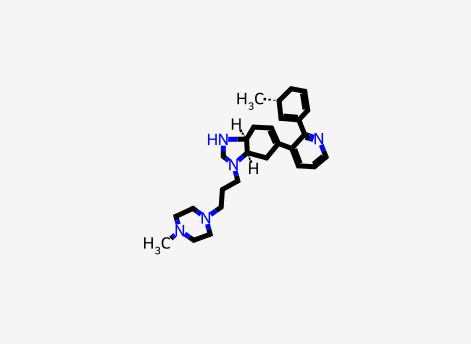 C[C@H]1C=C(c2ncccc2C2=CC[C@@H]3NCN(CCCN4CCN(C)CC4)[C@@H]3C2)C=CC1